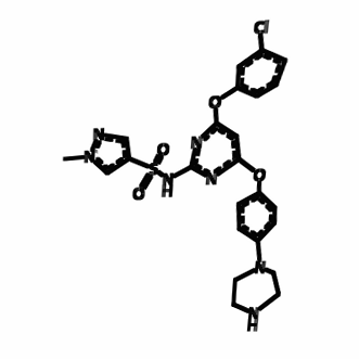 Cn1cc(S(=O)(=O)Nc2nc(Oc3ccc(N4CCNCC4)cc3)cc(Oc3cccc(Cl)c3)n2)cn1